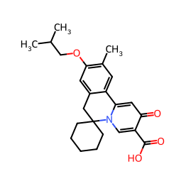 Cc1cc2c(cc1OCC(C)C)CC1(CCCCC1)n1cc(C(=O)O)c(=O)cc1-2